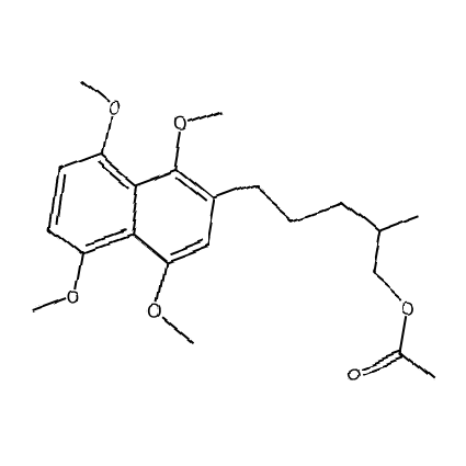 COc1ccc(OC)c2c(OC)c(CCCC(C)COC(C)=O)cc(OC)c12